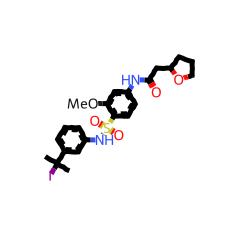 COc1cc(NC(=O)CC2CCCO2)ccc1S(=O)(=O)Nc1cccc(C(C)(C)I)c1